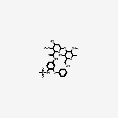 COC1C(O)CC(OC2C(O)C(CO)OC(C)C2NC(C)=O)OC1C(=O)Nc1ccc(NS(C)(=O)=O)c(Oc2ccccc2)c1